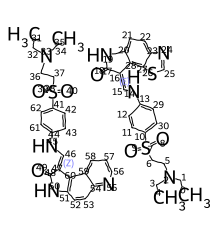 CCN(CC)CCS(=O)(=O)c1ccc(N/C=C2/C(=O)Nc3ccc4ncsc4c32)cc1.CCN(CC)CCS(=O)(=O)c1ccc(N/C=C2\C(=O)Nc3ccc4ncccc4c32)cc1